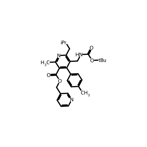 Cc1ccc(-c2c(CNC(=O)OC(C)(C)C)c(CC(C)C)nc(C)c2C(=O)OCc2cccnc2)cc1